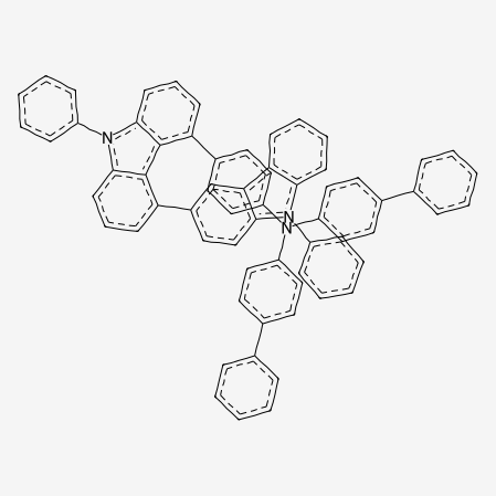 c1ccc(-c2ccc(N(c3ccc(-c4ccccc4)cc3)c3ccc(-c4cccc5c4c4c(-c6ccc7c(c6)c6ccccc6n7-c6ccccc6)cccc4n5-c4ccccc4)cc3)cc2)cc1